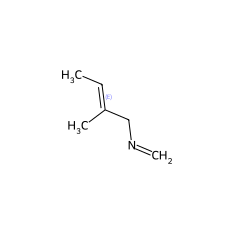 C=NC/C(C)=C/C